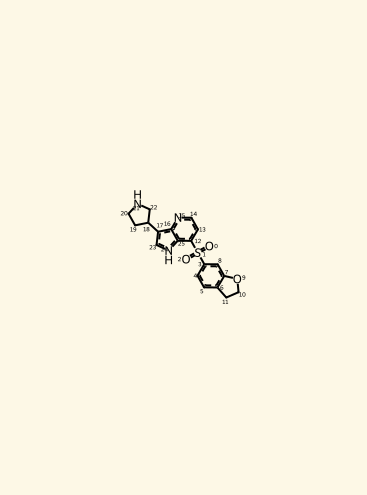 O=S(=O)(c1ccc2c(c1)OCC2)c1ccnc2c(C3CCNC3)c[nH]c12